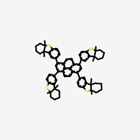 CC12CCCCC1(C)c1cc(-c3cc(-c4ccc5c(c4)C4(C)CCCCC4(C)S5)c4ccc5c(-c6ccc7c(c6)C6(C)CCCCC6(C)S7)cc(-c6ccc7c(c6)C6(C)CCCCC6(C)S7)c6ccc3c4c65)ccc1S2